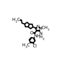 C=CCC1CC2CC(c3nn(C)c(N)c3C(=O)Nc3ccc(C)c(Cl)c3)CC2C1